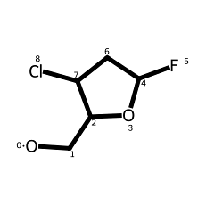 [O]CC1OC(F)CC1Cl